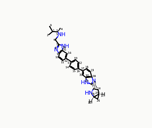 CC(C)[C@@H](C)NCc1nc2ccc(-c3ccc(-c4ccc5nc([C@@H]6C[C@H]7C[C@H]7N6)[nH]c5c4)cc3)cc2[nH]1